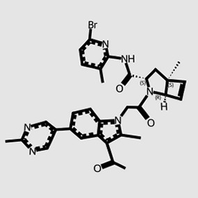 CC(=O)c1c(C)n(CC(=O)N2[C@H](C(=O)Nc3nc(Br)ccc3C)C[C@@]3(C)C=C[C@@H]23)c2ccc(-c3cnc(C)nc3)cc12